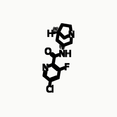 O=C(N[C@@H]1C[C@@H]2CCN(C2)C1)c1ncc(Cl)cc1F